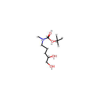 CN(CCCC(O)CO)C(=O)OC(C)(C)C